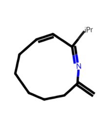 C=C1CCCCC/C=C\C(C(C)C)=N/1